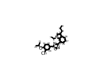 CCCc1cn(CC)c2c(-c3noc(-c4ccc(OC(C)C)c(Cl)c4)n3)cccc12